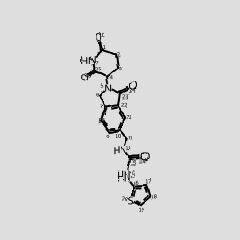 O=C1CCC(N2Cc3ccc(CNC(=O)Nc4cccs4)cc3C2=O)C(=O)N1